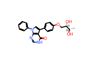 C[C@H](O)[C@@H](O)COc1ccc(-c2cn(-c3ccccc3)c3nc[nH]c(=O)c23)cc1